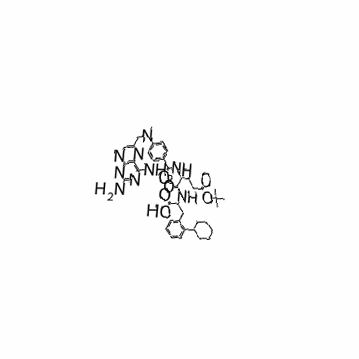 CN(Cc1cnc2nc(N)nc(N)c2n1)c1ccc(C(=O)N[C@@H](CCC(=O)OC(C)(C)C)C(=O)N[C@@H](Cc2ccccc2C2CCCCC2)C(=O)O)cc1